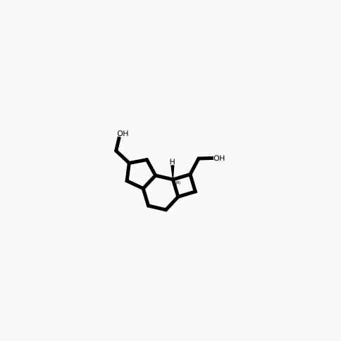 OCC1CC2CCC3CC(CO)[C@H]3C2C1